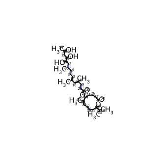 CC(=C/C=C/C(C)=C/[C@@H](O)[C@@H](O)C[C@H](C)O)C=C(C)/C=C/C(=O)O[C@H]1CCCC(=O)O[C@@H](C(C)C)C/C=C/C[C@@H]1C